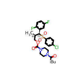 CCC(C)C(=O)N1CCN(C(=O)OC[C@@H](C)[C@@H](c2cc(F)ccc2F)S(=O)(=O)c2ccc(Cl)cc2)CC1